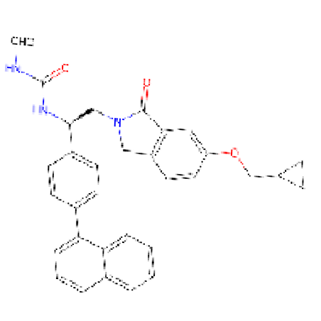 O=CNC(=O)N[C@@H](CN1Cc2ccc(OCC3CC3)cc2C1=O)c1ccc(-c2cccc3ccccc23)cc1